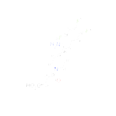 N[C@H](Cc1cc(F)c(F)cc1F)C1CCN(C(=O)CCC(=O)O)CC1